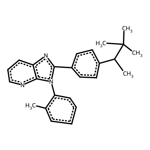 Cc1ccccc1-n1c(-c2ccc(C(C)C(C)(C)C)cc2)nc2cccnc21